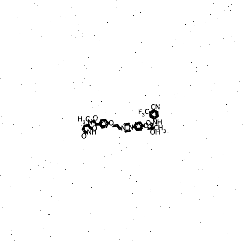 CN(C(=O)Cc1ccc(OCCCN2CCN(c3ccc(OCC(C)(O)C(=O)Nc4ccc(C#N)c(C(F)(F)F)c4)cc3)CC2)cc1)[C@H]1CCC(=O)NC1=O